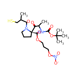 CC(CS)C(=O)N1CCC[C@@]1(C(=O)OCCCO[N+](=O)[O-])C(=O)C(C)NC(=O)OC(C)(C)C